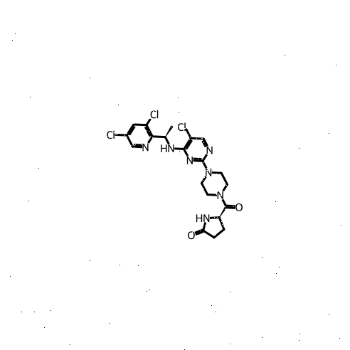 C[C@@H](Nc1nc(N2CCN(C(=O)[C@H]3CCC(=O)N3)CC2)ncc1Cl)c1ncc(Cl)cc1Cl